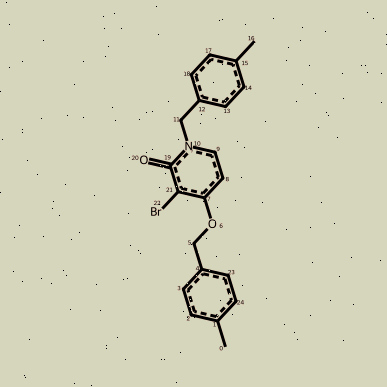 Cc1ccc(COc2ccn(Cc3ccc(C)cc3)c(=O)c2Br)cc1